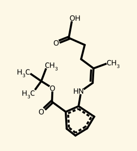 CC(=CNc1ccccc1C(=O)OC(C)(C)C)CCC(=O)O